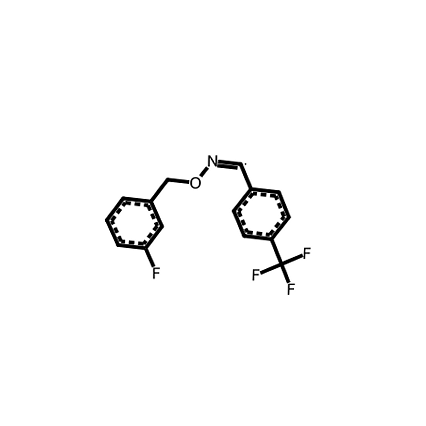 Fc1cccc(CO/N=[C]\c2ccc(C(F)(F)F)cc2)c1